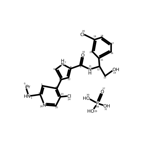 CC(C)Nc1cc(-c2c[nH]c(C(=O)NC(CO)c3cccc(Cl)c3)c2)c(Cl)cn1.O=P(O)(O)O